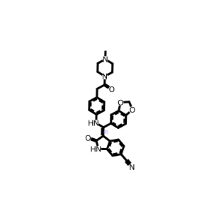 CN1CCN(C(=O)Cc2ccc(N/C(=C3\C(=O)Nc4cc(C#N)ccc43)c3ccc4c(c3)OCO4)cc2)CC1